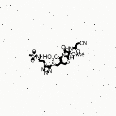 CO[C@@]1(NC(=O)CC#N)C(=O)N2C(C(=O)O)=C(CSc3nnnn3CCNS(C)(=O)=O)CS[C@@H]21